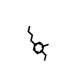 C[CH]c1ccc(CCCC)cc1C